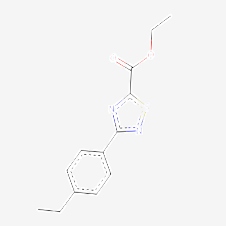 CCOC(=O)c1nc(-c2ccc(CC)cc2)ns1